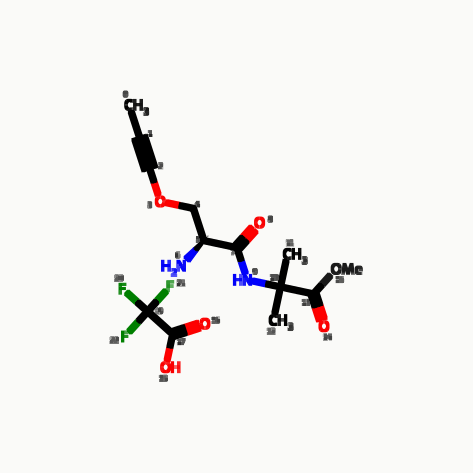 CC#COC[C@H](N)C(=O)NC(C)(C)C(=O)OC.O=C(O)C(F)(F)F